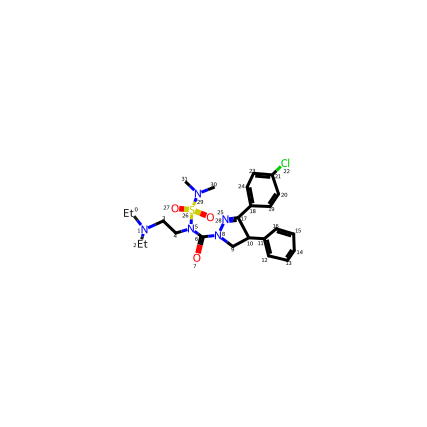 CCN(CC)CCN(C(=O)N1CC(c2ccccc2)C(c2ccc(Cl)cc2)=N1)S(=O)(=O)N(C)C